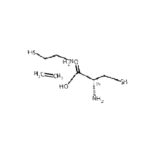 C=C.NCCS.N[C@@H](CS)C(=O)O